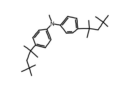 CN(c1ccc(C(C)(C)CC(C)(C)C)cc1)c1ccc(C(C)(C)CC(C)(C)C)cc1